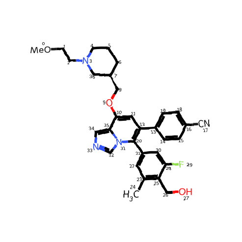 COCCN1CCC[C@@H](COc2cc(-c3ccc(C#N)cc3)c(-c3cc(C)c(CO)c(F)c3)n3cncc23)C1